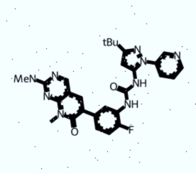 CNc1ncc2cc(-c3ccc(F)c(NC(=O)Nc4cc(C(C)(C)C)nn4-c4cccnc4)c3)c(=O)n(C)c2n1